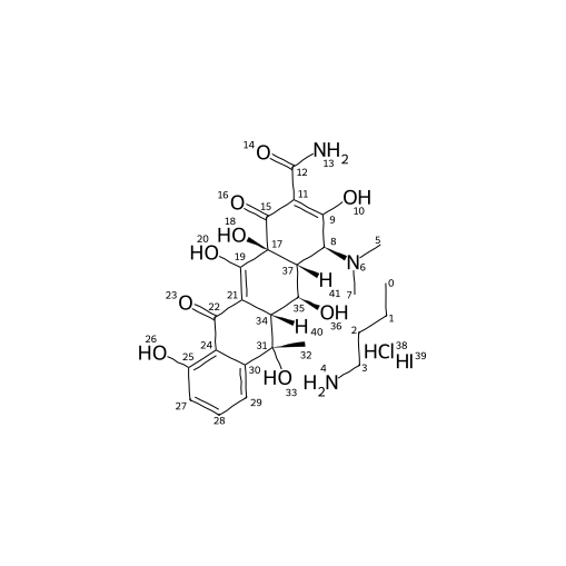 CCCCN.CN(C)[C@@H]1C(O)=C(C(N)=O)C(=O)[C@@]2(O)C(O)=C3C(=O)c4c(O)cccc4[C@@](C)(O)[C@H]3[C@H](O)[C@@H]12.Cl.I